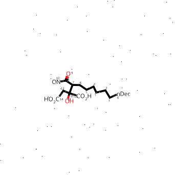 CCCCCCCCCCCCCCCCC(C(=O)N=O)C(O)(CC(=O)O)C(=O)O